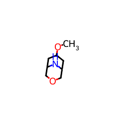 COC1CC2COCC(C1)N2